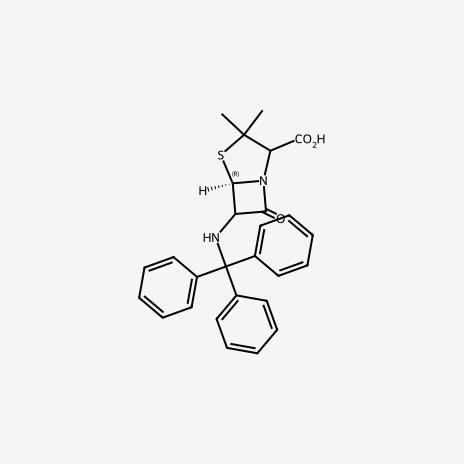 CC1(C)S[C@@H]2C(NC(c3ccccc3)(c3ccccc3)c3ccccc3)C(=O)N2C1C(=O)O